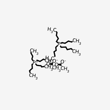 CC(=O)[O-].CC(=O)[O-].CCCCC[P+](CCCCC)(CCCCC)CCCCC.CCCC[P+](CCCC)(CCCC)CCCC